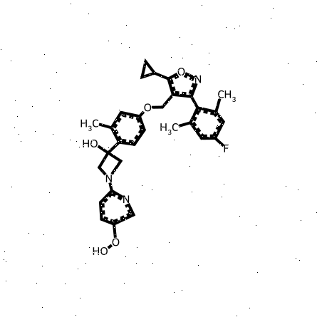 Cc1cc(OCc2c(-c3c(C)cc(F)cc3C)noc2C2CC2)ccc1C1(O)CN(c2ccc(OO)cn2)C1